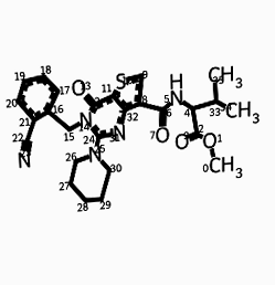 COC(=O)C(NC(=O)c1csc2c(=O)n(Cc3ccccc3C#N)c(N3CCCCC3)nc12)C(C)C